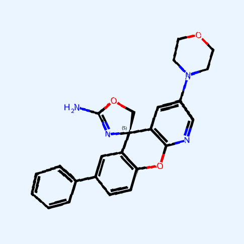 NC1=N[C@@]2(CO1)c1cc(-c3ccccc3)ccc1Oc1ncc(N3CCOCC3)cc12